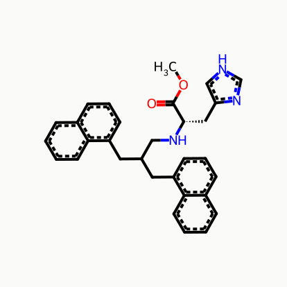 COC(=O)[C@H](Cc1c[nH]cn1)NCC(Cc1cccc2ccccc12)Cc1cccc2ccccc12